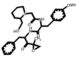 COc1ccc(CC(NC(=O)CN2CCCCC2CO)C(=O)NC(Cc2ccccc2)C(=O)C2(C)CO2)cc1